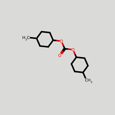 CC1CCC(OC(=O)OC2CCC(C)CC2)CC1